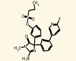 CCCS(=O)(=O)Oc1cccc(C2(c3cccc(-c4ccc(F)nc4)c3)N=C(N)N(C)C2=O)c1